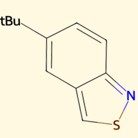 CC(C)(C)c1ccc2nscc2c1